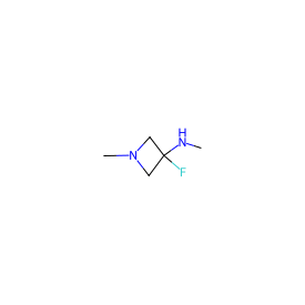 CNC1(F)CN(C)C1